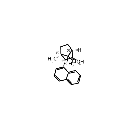 CC1(C)[C@H]2CC[C@]1(C)[C@@H](c1cccc3ccccc13)[C@@H]2O